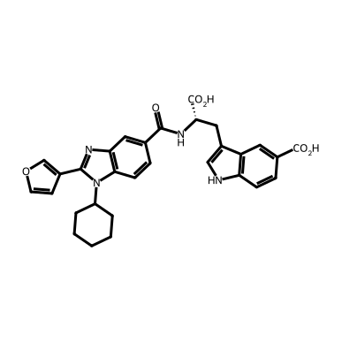 O=C(O)c1ccc2[nH]cc(C[C@H](NC(=O)c3ccc4c(c3)nc(-c3ccoc3)n4C3CCCCC3)C(=O)O)c2c1